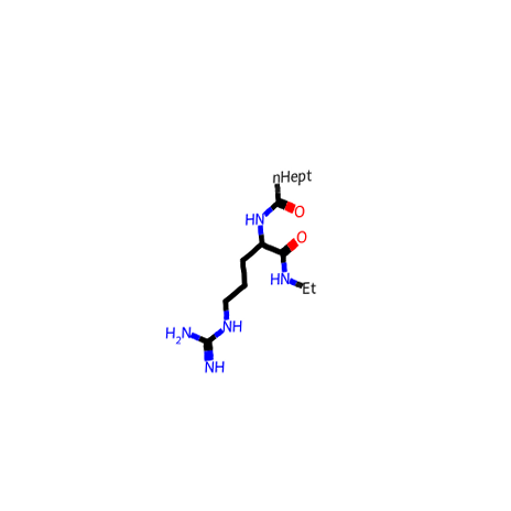 CCCCCCCC(=O)NC(CCCNC(=N)N)C(=O)NCC